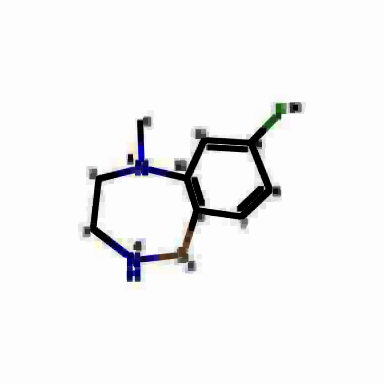 CN1CCNSc2ccc(F)cc21